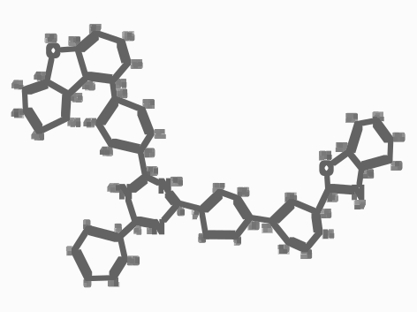 c1ccc(-c2nc(-c3ccc(-c4cccc(-c5nc6ccccc6o5)c4)cc3)nc(-c3ccc(-c4cccc5oc6ccccc6c45)cc3)n2)cc1